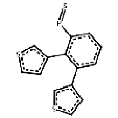 S=Pc1cccc(-c2ccsc2)c1-c1ccsc1